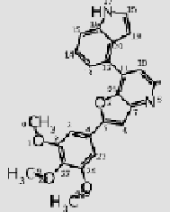 COc1cc(-c2cc3nccc(-c4cccc5[nH]ccc45)c3o2)cc(OC)c1OC